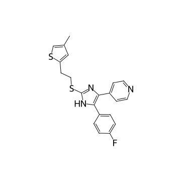 Cc1csc(CCSc2nc(-c3ccncc3)c(-c3ccc(F)cc3)[nH]2)c1